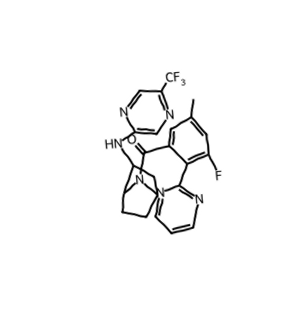 Cc1cc(F)c(-c2ncccn2)c(C(=O)N2C3CCC2C(Nc2cnc(C(F)(F)F)cn2)C3)c1